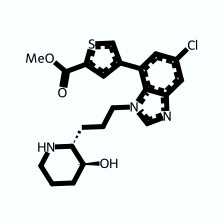 COC(=O)c1cc(-c2cc(Cl)cc3ncn(CCC[C@H]4NCCC[C@@H]4O)c23)cs1